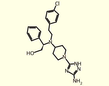 Nc1n[nH]c(N2CCC(N(CCc3ccc(Cl)cc3)[C@@H](CO)c3ccccc3)CC2)n1